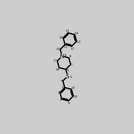 c1ccc(CSC2CCN(Cc3ccccc3)CC2)cc1